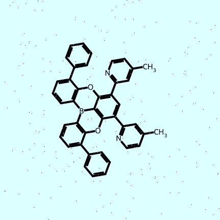 Cc1ccnc(-c2cc(-c3cc(C)ccn3)c3c4c2Oc2c(cccc2-c2ccccc2)B4c2cccc(-c4ccccc4)c2O3)c1